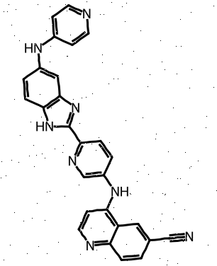 N#Cc1ccc2nccc(Nc3ccc(-c4nc5cc(Nc6ccncc6)ccc5[nH]4)nc3)c2c1